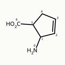 NC1C=CCC1C(=O)O